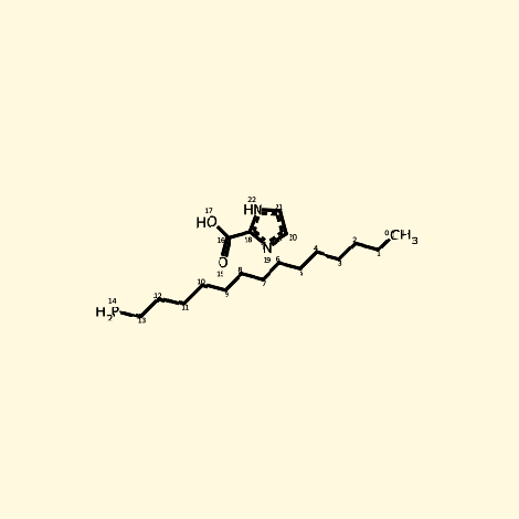 CCCCCCCCCCCCCCP.O=C(O)c1ncc[nH]1